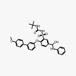 COc1ccc(-c2cccc(Oc3ccc(C(O)Nc4ccccc4)cc3S(=O)(=O)NC(=O)NC(C)(C)C)c2)cc1